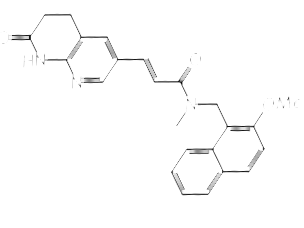 COc1ccc2ccccc2c1CN(C)C(=O)C=Cc1cnc2c(c1)CCC(=O)N2